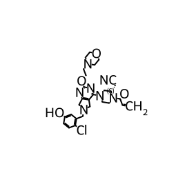 C=CC(=O)N1CCN(c2nc(OCCN3CCOCC3)nc3c2CN(Cc2cc(O)ccc2Cl)C3)C[C@@H]1CC#N